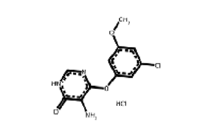 COc1cc(Cl)cc(Oc2nc[nH]c(=O)c2N)c1.Cl